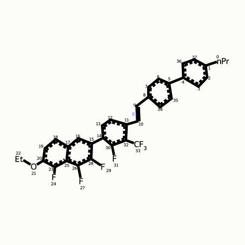 CCCc1ccc(-c2ccc(/C=C/c3ccc(-c4cc5ccc(OCC)c(F)c5c(F)c4F)c(F)c3C(F)(F)F)cc2)cc1